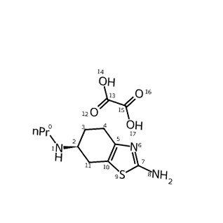 CCCN[C@H]1CCc2nc(N)sc2C1.O=C(O)C(=O)O